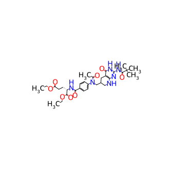 CCOC(=O)CC[C@H](NC(=O)c1ccc(N(CC2CNc3nc(NC(=O)C(C)(C)C)[nH]c(=O)c3C2)C(C)=O)cc1)C(=O)OCC